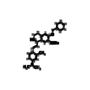 COc1cc2c(cc1OCc1ccccc1)CCNC2C=Cc1ccc(N(C)C)cc1C